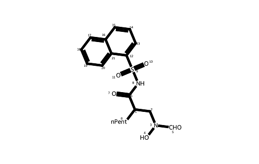 CCCCCC(CN(O)C=O)C(=O)NS(=O)(=O)c1cccc2ccccc12